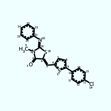 CN1C(=O)/C(=C/c2ccc(-c3ccc(Cl)cc3)s2)S/C1=N/c1ccccc1